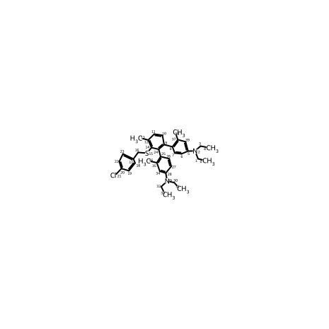 CCN(CC)c1ccc(-c2ccc(C)c(SCc3ccc(Cl)cc3)c2-c2ccc(N(CC)CC)cc2C)c(C)c1